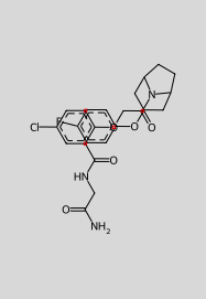 NC(=O)CNC(=O)c1cc(Cl)ccc1OCC(=O)N1C2CCC1CC(Oc1ccc(F)cc1)C2